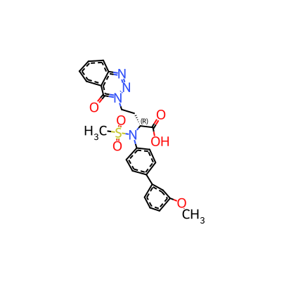 COc1cccc(-c2ccc(N([C@H](CCn3nnc4ccccc4c3=O)C(=O)O)S(C)(=O)=O)cc2)c1